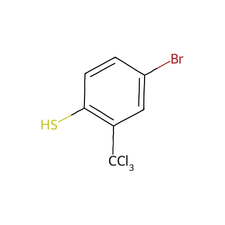 Sc1ccc(Br)cc1C(Cl)(Cl)Cl